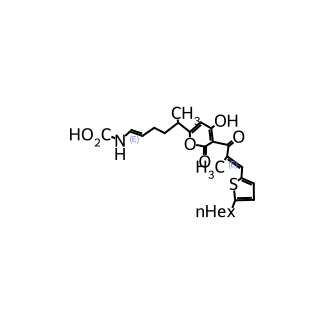 CCCCCCc1ccc(/C=C(\C)C(=O)c2c(O)cc(C(C)CC/C=C/NC(=O)O)oc2=O)s1